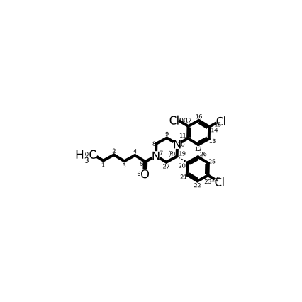 CCCCCC(=O)N1CCN(c2ccc(Cl)cc2Cl)[C@H](c2ccc(Cl)cc2)C1